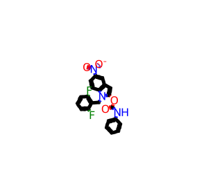 O=C(Nc1ccccc1)Oc1cc2cc([N+](=O)[O-])ccc2n1Cc1c(F)cccc1F